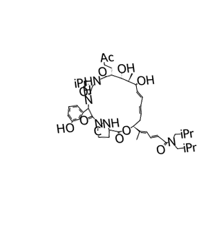 CC(=O)CC[C@H]1C(=O)N[C@@H](C(C)C)C(=O)NC(c2cccc(O)c2)C(=O)N2CCCC(N2)C(=O)O[C@H](/C(C)=C/C=C/C(=O)N(CC(C)C)CC(C)C)C/C=C/C=C/[C@H](O)[C@H](C)[C@H]1O